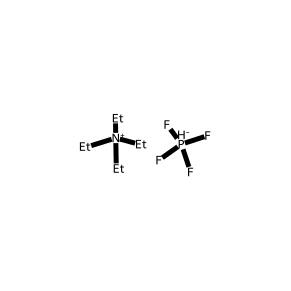 CC[N+](CC)(CC)CC.F[PH-](F)(F)F